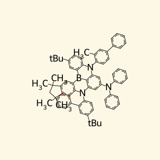 Cc1cc(-c2ccccc2)ccc1N1c2ccc(C(C)(C)C)cc2B2c3cc4c(cc3N(c3ccc(C(C)(C)C)cc3-c3ccccc3)c3cc(N(c5ccccc5)c5ccccc5)cc1c32)C(C)(C)CC4(C)C